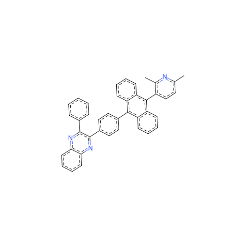 Cc1ccc(-c2c3ccccc3c(-c3ccc(-c4nc5ccccc5nc4-c4ccccc4)cc3)c3ccccc23)c(C)n1